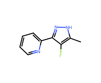 Cc1[nH]nc(-c2ccccn2)c1F